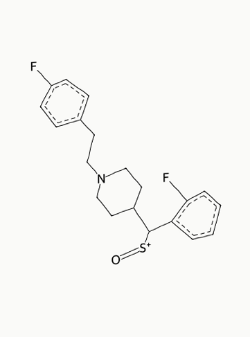 O=[S+]C(c1ccccc1F)C1CCN(CCc2ccc(F)cc2)CC1